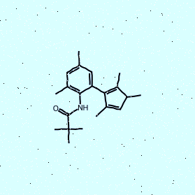 CC1=CC(C)C(C)=C1c1cc(C)cc(C)c1NC(=O)C(C)(C)C